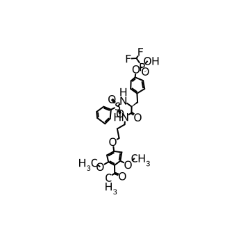 COc1cc(OCCCNC(=O)[C@H](Cc2ccc(OP(=O)(O)C(F)F)cc2)NS(=O)(=O)c2ccccc2)cc(OC)c1C(C)=O